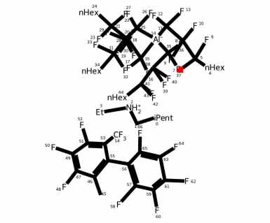 CCCC(C)C[NH2+]CC.CCCCCCC(F)(F)C(F)(F)[C](F)(F)[Al-]([C](F)(F)C(F)(F)C(F)(F)CCCCCC)([C](F)(F)C(F)(F)C(F)(F)CCCCCC)[C](F)(F)C(F)(F)C(F)(F)CCCCCC.Cc1c(F)c(F)c(F)c(C(F)(F)F)c1-c1c(F)c(F)c(F)c(F)c1F